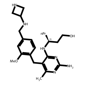 CCC[C@@H](CCO)Nc1nc(N)nc(C)c1Cc1ccc(CNC2CNC2)cc1OC